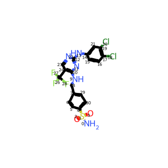 NS(=O)(=O)c1ccc(CNc2nc(Nc3ccc(Cl)c(Cl)c3)ncc2C(F)(F)F)cc1